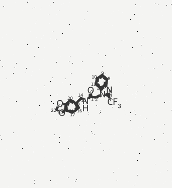 O=C(Cn1c(C(F)(F)F)nc2ccccc21)NCc1ccc2c(c1)OCO2